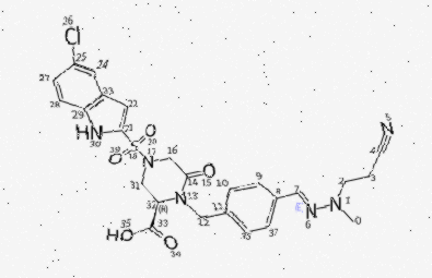 CN(CCC#N)/N=C/c1ccc(CN2C(=O)CN(S(=O)(=O)c3cc4cc(Cl)ccc4[nH]3)C[C@@H]2C(=O)O)cc1